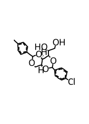 Cc1ccc(C2OC[C@@H]3OC(c4ccc(Cl)cc4)O[C@H]([C@H](O)CO)[C@@H]3O2)cc1